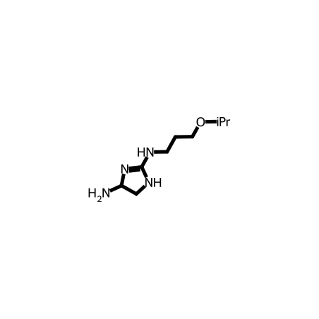 CC(C)OCCCNC1=NC(N)CN1